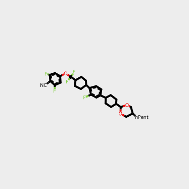 CCCCCC1COC(C2CCC(c3ccc(C4CCC(C(F)(F)Oc5cc(F)c(C#N)c(F)c5)CC4)c(F)c3)CC2)OC1